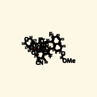 COCOc1cc(-c2ncc3c(N4CC5COCC(C4)N5C(=O)OC(C)(C)C)nc(C#N)c(C)c3c2F)c2c(C#C[Si](C(C)C)(C(C)C)C(C)C)c(F)ccc2c1